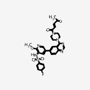 COc1ncc(-c2ccc3ncnc(N4CCN(C(=O)/C=C/C(C)=O)CC4)c3c2)cc1NS(=O)(=O)c1ccc(F)cc1